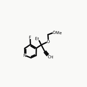 C#CC(CC)(OCOC)c1ccncc1F